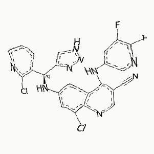 N#Cc1cnc2c(Cl)cc(N[C@H](c3c[nH]nn3)c3cccnc3Cl)cc2c1Nc1cnc(F)c(F)c1